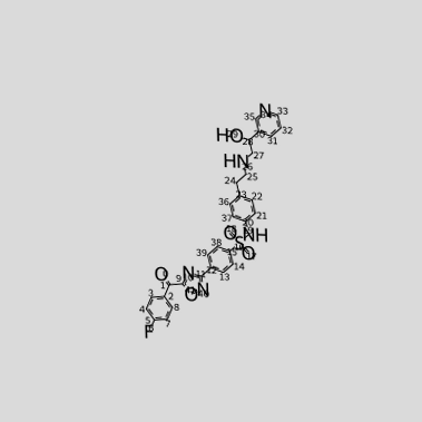 O=C(c1ccc(F)cc1)c1nc(-c2ccc(S(=O)(=O)Nc3ccc(CCNCC(O)c4cccnc4)cc3)cc2)no1